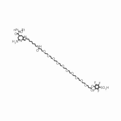 CCCN(OCC)C(=O)C1=Cc2nn(CCCCCCNC(=O)CCOCCOCCOCCOCCOCCOCCOCCOCCOCCOCCC(=O)Oc3c(F)c(F)c(S(=O)(=O)O)c(F)c3F)cc2N=C(N)C1